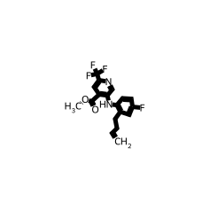 C=CCCc1cc(F)ccc1Nc1cnc(C(F)(F)F)cc1C(=O)OC